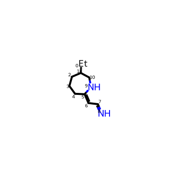 CCC1CCC/C(=C/C=N)NC1